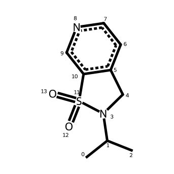 CC(C)N1Cc2ccncc2S1(=O)=O